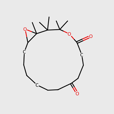 CC1(C)OC(=O)CCCC(=O)CCCCCCC2OC2(C)C1(C)C